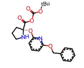 CC(C)(C)OC(=O)OC(=O)[C@]1(Oc2cccc(OCc3ccccc3)n2)CCCN1